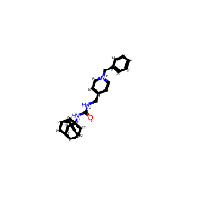 O=C(NCC1CCN(Cc2ccccc2)CC1)NC12CC3CC(CC(C3)C1)C2